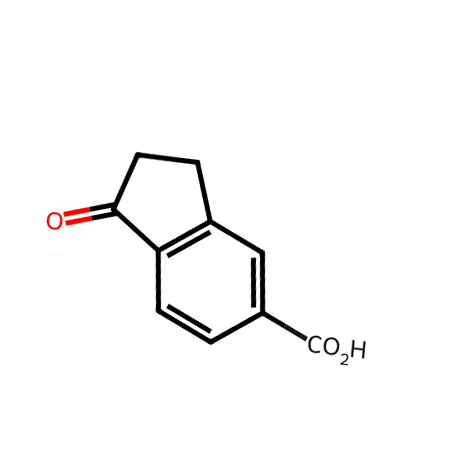 O=C(O)c1ccc2c(c1)CCC2=O